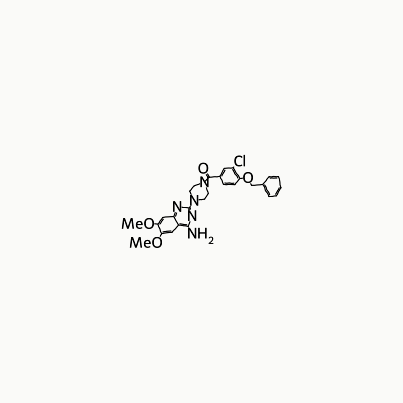 COc1cc2nc(N3CCN(C(=O)c4ccc(OCc5ccccc5)c(Cl)c4)CC3)nc(N)c2cc1OC